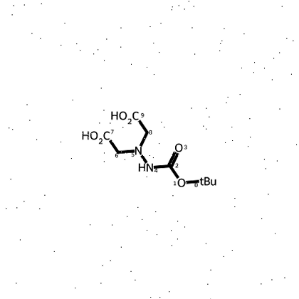 CC(C)(C)OC(=O)NN(CC(=O)O)CC(=O)O